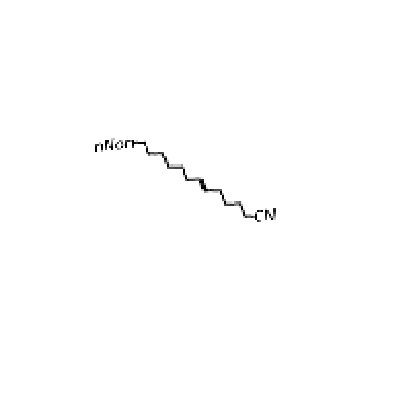 CCCCCCCCCCCCCCCC=CCCCCC#N